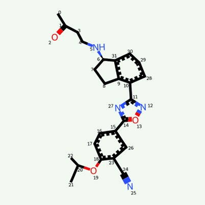 CC(=O)CCN[C@@H]1CCc2c(-c3noc(-c4ccc(OC(C)C)c(C#N)c4)n3)cccc21